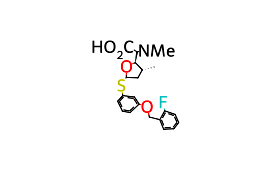 CNC(C(=O)O)[C@@H]1OC(Sc2cccc(OCc3ccccc3F)c2)C[C@H]1C